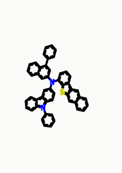 c1ccc(-c2cc(N(c3ccc4c(c3)c3ccccc3n4-c3ccccc3)c3cccc4c3sc3cc5ccccc5cc34)cc3ccccc23)cc1